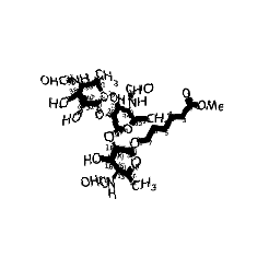 COC(=O)CCCCCO[C@H]1OC(C)[C@@H](NC=O)C(O)[C@H]1O[C@H]1OC(C)[C@@H](NC=O)C(O)[C@H]1O[C@H]1OC(C)[C@@H](NC=O)C(O)[C@H]1O